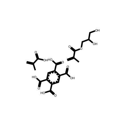 C=C(C)C(=O)O.C=C(C)C(=O)OCC(O)CO.O=C(O)c1cc(C(=O)O)c(C(=O)O)cc1C(=O)O